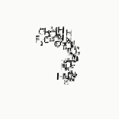 O=C(Nc1ccc(Cl)c(C(F)(F)F)c1)C1Cc2cc(Oc3ccnc(C4=NCCN4)c3)ccc2CN1